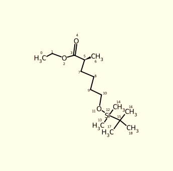 CCOC(=O)[C@@H](C)CCCCO[Si](C)(C)C(C)(C)C